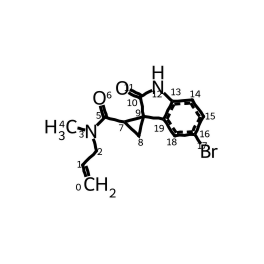 C=CCN(C)C(=O)C1CC12C(=O)Nc1ccc(Br)cc12